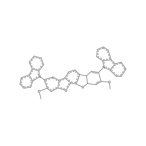 COC1=CC2Oc3c(ccc4c3oc3cc(OC)c(-n5c6ccccc6c6ccccc65)cc34)C2C=C1n1c2ccccc2c2ccccc21